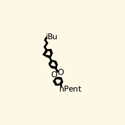 CCCCCc1ccc(OC(=O)c2ccc(-c3ccc(CCCC(C)CC)cc3)cc2)cc1